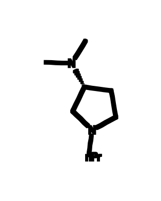 C[CH]CN1CC[C@@H](N(C)C)C1